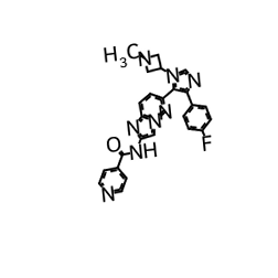 CN1CC(n2cnc(-c3ccc(F)cc3)c2-c2ccc3nc(NC(=O)c4ccncc4)cn3n2)C1